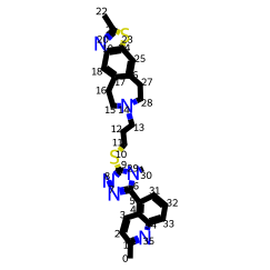 Cc1ccc2c(-c3nnc(SCCCN4CCc5cc6nc(C)sc6cc5CC4)n3C)cccc2n1